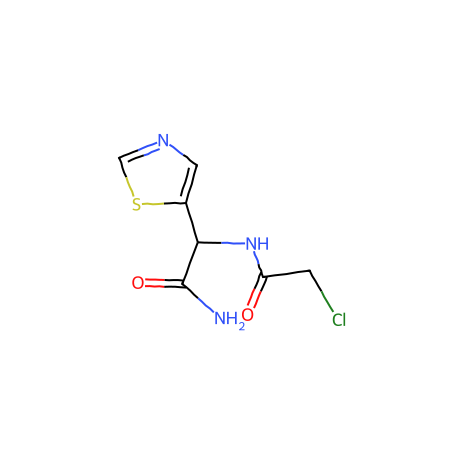 NC(=O)C(NC(=O)CCl)c1cncs1